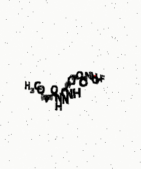 COC[C@H]1C[C@@H]1C(=O)Nc1cc([C@H]2CC[C@@H](OC(=O)NC34CC(F)C(C3)C4)C2)[nH]n1